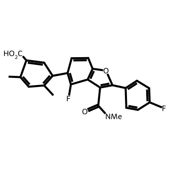 CNC(=O)c1c(-c2ccc(F)cc2)oc2ccc(-c3cc(C(=O)O)c(C)cc3C)c(F)c12